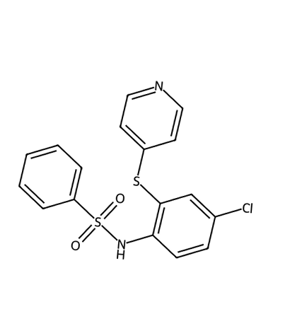 O=S(=O)(Nc1ccc(Cl)cc1Sc1ccncc1)c1ccccc1